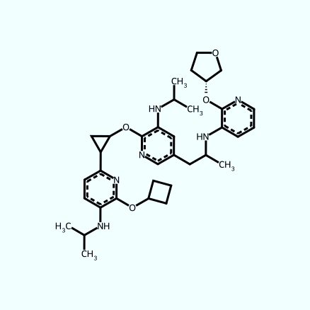 CC(C)Nc1ccc(C2CC2Oc2ncc(CC(C)Nc3cccnc3O[C@@H]3CCOC3)cc2NC(C)C)nc1OC1CCC1